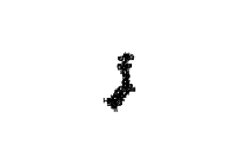 O=C1C=CC(=O)N1CCN1C(=O)c2ccc(Oc3ccc4c(c3)C(=O)N(c3cc(C(c5ccc(O)c(N6C(=O)C=CC6=O)c5)(C(F)(F)F)C(F)(F)F)ccc3O)C4=O)cc2C1=O